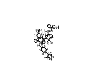 Cc1ncsc1-c1ccc(CNC(=O)[C@H]2C[C@@H](O)CN2C(=O)C(NC(=O)CCC(=O)O)C(C)(C)C)cc1